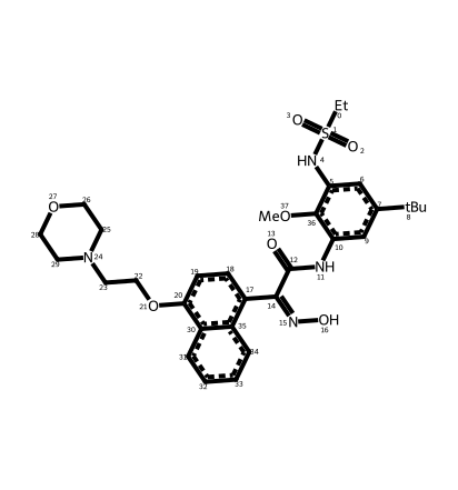 CCS(=O)(=O)Nc1cc(C(C)(C)C)cc(NC(=O)C(=NO)c2ccc(OCCN3CCOCC3)c3ccccc23)c1OC